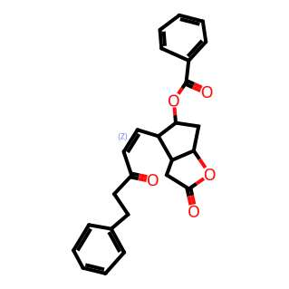 O=C(/C=C\C1C(OC(=O)c2ccccc2)CC2OC(=O)CC21)CCc1ccccc1